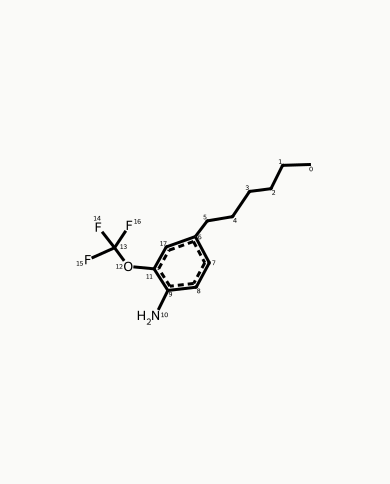 CCCCCCc1ccc(N)c(OC(F)(F)F)c1